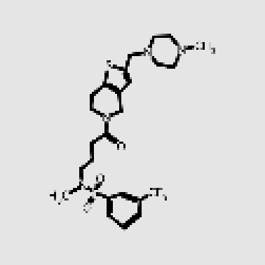 CN1CCN(Cc2cc3c(s2)CCN(C(=O)CCCN(C)S(=O)(=O)c2cccc(C(F)(F)F)c2)C3)CC1